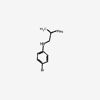 CCCCCCC(C)CNc1ccc(Br)cc1